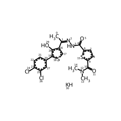 C/C(=N/NC(=O)c1ccc(C(=O)N(C)C)s1)c1csc(-c2ccc(Cl)c(Cl)c2)c1O.[KH]